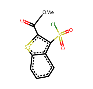 COC(=O)c1sc2ccccc2c1S(=O)(=O)Cl